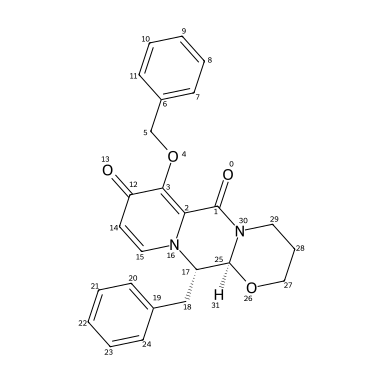 O=C1c2c(OCc3ccccc3)c(=O)ccn2[C@@H](Cc2ccccc2)[C@@H]2OCCCN12